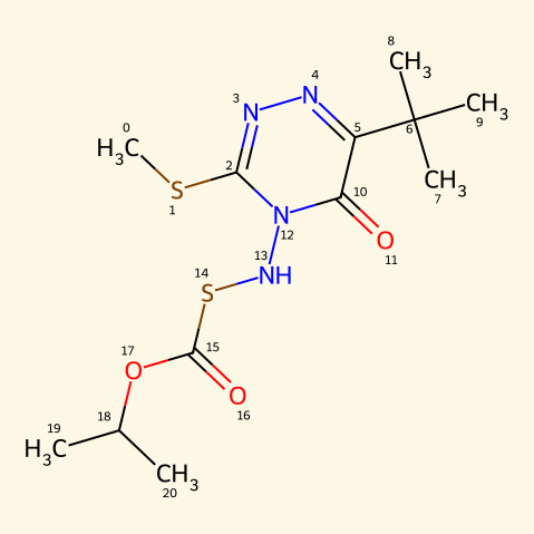 CSc1nnc(C(C)(C)C)c(=O)n1NSC(=O)OC(C)C